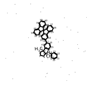 CC12CCCC1(C)N(c1ccccc1)c1ccc(-c3ccc4c(c3)-c3ccccc3C43c4ccccc4-c4ccccc43)cc12